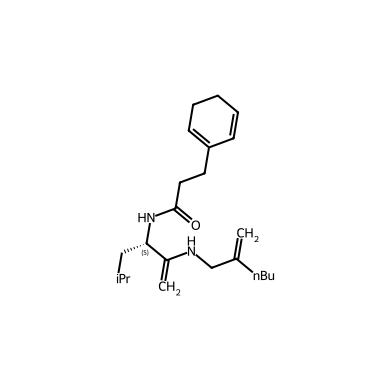 C=C(CCCC)CNC(=C)[C@H](CC(C)C)NC(=O)CCC1=CCCC=C1